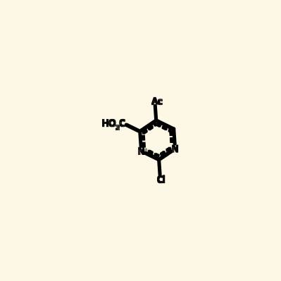 CC(=O)c1cnc(Cl)nc1C(=O)O